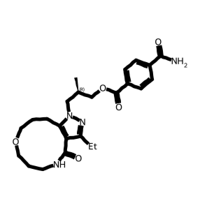 CCc1nn(C[C@@H](C)COC(=O)c2ccc(C(N)=O)cc2)c2c1C(=O)NCCCOCCC2